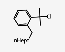 CCCCCCCCc1ccccc1C(C)(C)Cl